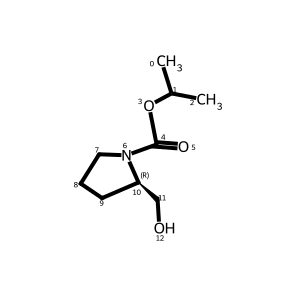 CC(C)OC(=O)N1CCC[C@@H]1CO